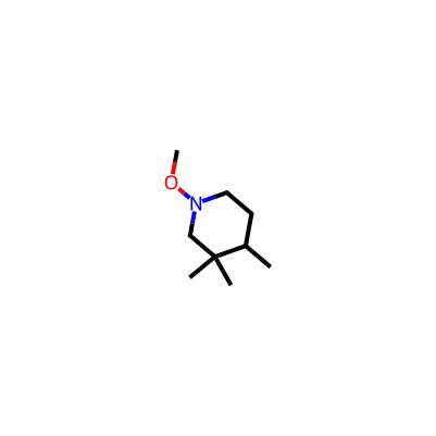 CON1CCC(C)C(C)(C)C1